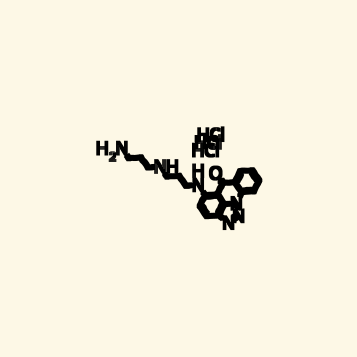 Cl.Cl.Cl.NCCCNCCCNc1ccc2nnn3c4ccccc4c(=O)c1c23